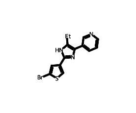 CCc1[nH]c(-c2csc(Br)c2)nc1-c1cccnc1